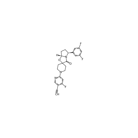 C#Cc1cnc(N2CCC3(CC2)O[C@@H]2CC[C@@H](c4cc(F)cc(F)c4)N2C3=O)cc1F